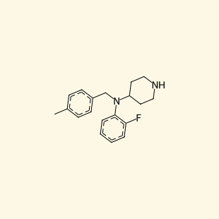 Cc1ccc(CN(c2ccccc2F)C2CCNCC2)cc1